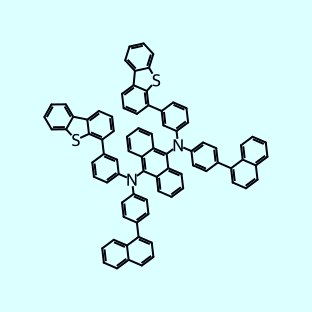 c1cc(-c2cccc3c2sc2ccccc23)cc(N(c2ccc(-c3cccc4ccccc34)cc2)c2c3ccccc3c(N(c3ccc(-c4cccc5ccccc45)cc3)c3cccc(-c4cccc5c4sc4ccccc45)c3)c3ccccc23)c1